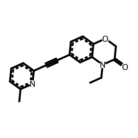 CCN1C(=O)COc2ccc(C#Cc3cccc(C)n3)cc21